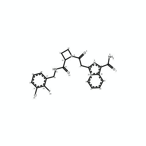 NC(=O)c1nc(CC(=O)N2CCC2C(=O)NCc2cccc(Cl)c2F)n2ccccc12